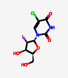 O=c1[nH]c(=O)n([C@@H]2O[C@H](CO)[C@@H](O)[C@H]2I)cc1Cl